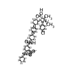 CCn1c(C)c(C(=O)O)c(-c2cccc(N3CCN(C4=CC=C(N[S+]([O-])c5ccc(NSc6ccccc6)c([N+](=O)[O-])c5)CC4)CC3)c2)c1-c1ccc(Cl)cc1